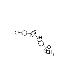 COC(=O)c1ccc(CNc2nc(-c3ccc(Cl)cc3)cs2)cc1